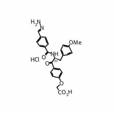 COc1ccc(C[C@H](NC(=O)c2ccc(C=NN)cc2)C(=O)c2ccc(OCC(=O)O)cc2)cc1.Cl